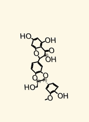 COc1cc([C@H]2Oc3cc(C4Oc5cc(O)cc(O)c5C(=O)[C@@H]4O)ccc3O[C@@H]2CO)ccc1O